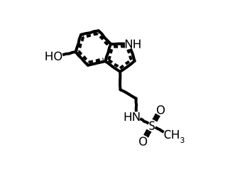 CS(=O)(=O)NCCc1c[nH]c2ccc(O)cc12